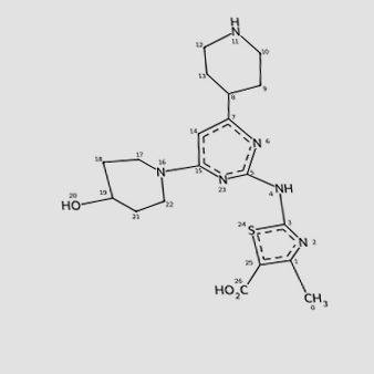 Cc1nc(Nc2nc(C3CCNCC3)cc(N3CCC(O)CC3)n2)sc1C(=O)O